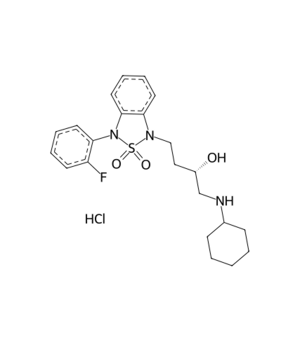 Cl.O=S1(=O)N(CC[C@H](O)CNC2CCCCC2)c2ccccc2N1c1ccccc1F